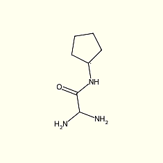 NC(N)C(=O)N[C]1CCCC1